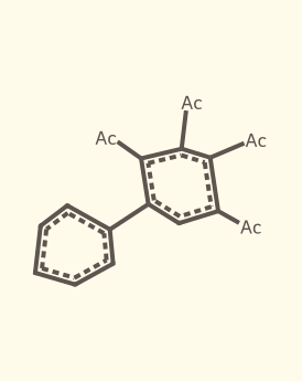 CC(=O)c1cc(-c2ccccc2)c(C(C)=O)c(C(C)=O)c1C(C)=O